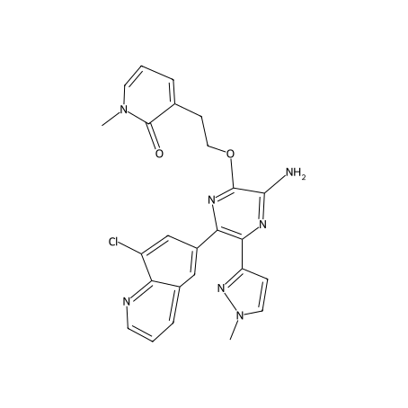 Cn1ccc(-c2nc(N)c(OCCc3cccn(C)c3=O)nc2-c2cc(Cl)c3ncccc3c2)n1